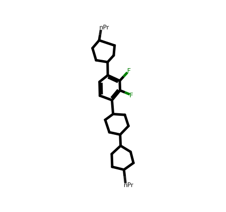 CCCC1CCC(c2ccc(C3CCC(C4CCC(CCC)CC4)CC3)c(F)c2F)CC1